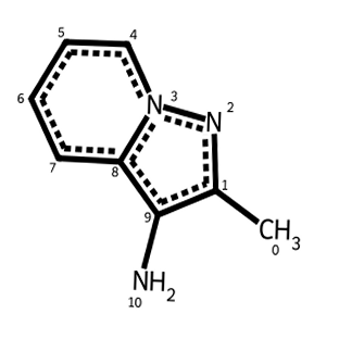 Cc1nn2ccccc2c1N